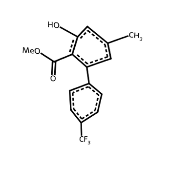 COC(=O)c1c(O)cc(C)cc1-c1ccc(C(F)(F)F)cc1